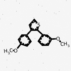 COc1ccc(-c2ccsc2-c2cccc(OC)c2)cc1